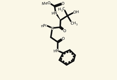 CCCN(CC(=O)Nc1ccccc1)C(=O)[C@@H](NC(=O)OC)C(C)(C)O